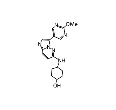 COc1ncc(-c2cnc3ccc(NC4CCC(O)CC4)nn23)cn1